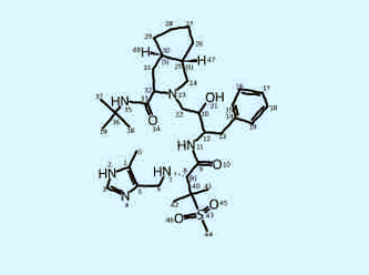 Cc1[nH]cnc1CN[C@H](C(=O)NC(Cc1ccccc1)C(O)CN1C[C@H]2CCCC[C@H]2CC1C(=O)NC(C)(C)C)C(C)(C)S(C)(=O)=O